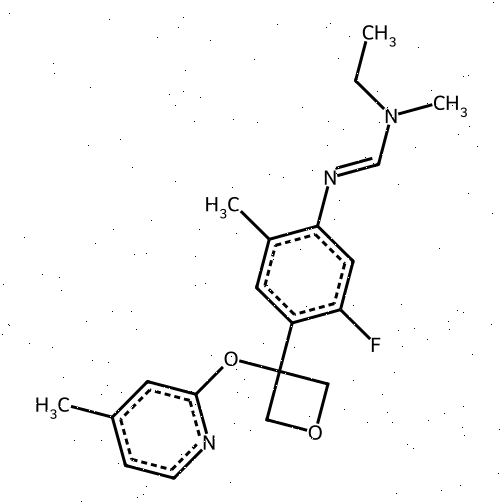 CCN(C)C=Nc1cc(F)c(C2(Oc3cc(C)ccn3)COC2)cc1C